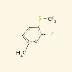 [CH2]c1ccc(SC(F)(F)F)c(F)c1